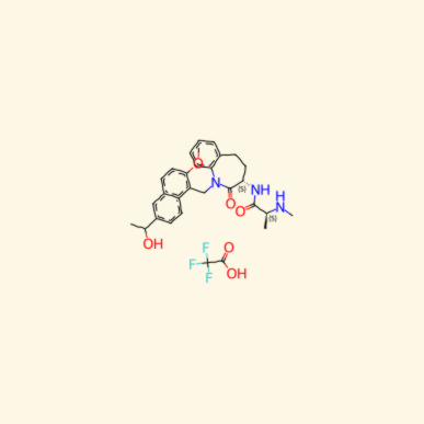 CN[C@@H](C)C(=O)N[C@H]1CCc2ccccc2N(Cc2c(OC)ccc3cc(C(C)O)ccc23)C1=O.O=C(O)C(F)(F)F